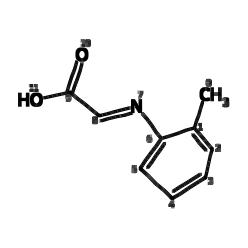 Cc1ccccc1N=CC(=O)O